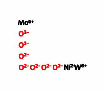 [Mo+6].[Ni+2].[O-2].[O-2].[O-2].[O-2].[O-2].[O-2].[O-2].[W+6]